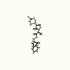 CN1CCC(C2=NCC(C(=O)NCCc3nc4ccccc4[nH]3)N2)CC1